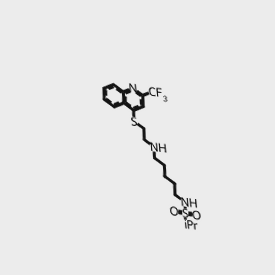 CC(C)S(=O)(=O)NCCCCCNCCSc1cc(C(F)(F)F)nc2ccccc12